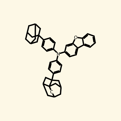 c1ccc2c(c1)oc1cc(N(c3ccc(C45CC6CC(CC(C6)C4)C5)cc3)c3ccc(C45CC6CC7CC(C4)C5(C7)C6)cc3)ccc12